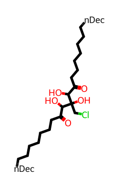 CCCCCCCCCCCCCCCCCC(=O)C(O)C(O)(CCl)C(O)C(=O)CCCCCCCCCCCCCCCCC